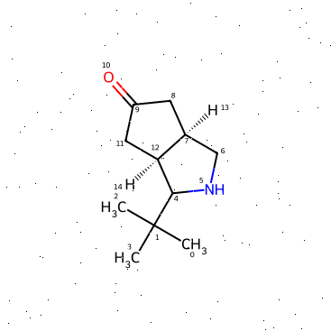 CC(C)(C)C1NC[C@@H]2CC(=O)C[C@H]12